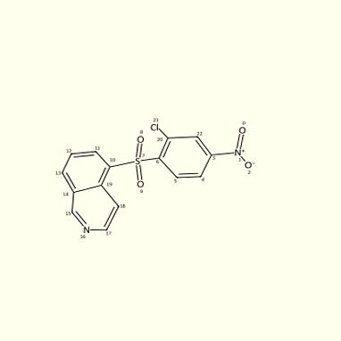 O=[N+]([O-])c1ccc(S(=O)(=O)c2cccc3cnccc23)c(Cl)c1